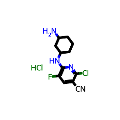 Cl.N#Cc1cc(F)c(NC2CCCC(N)C2)nc1Cl